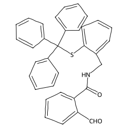 O=Cc1ccccc1C(=O)NCc1ccccc1SC(c1ccccc1)(c1ccccc1)c1ccccc1